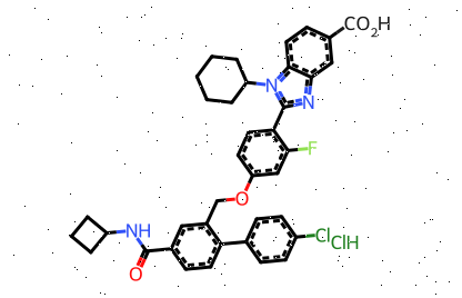 Cl.O=C(O)c1ccc2c(c1)nc(-c1ccc(OCc3cc(C(=O)NC4CCC4)ccc3-c3ccc(Cl)cc3)cc1F)n2C1CCCCC1